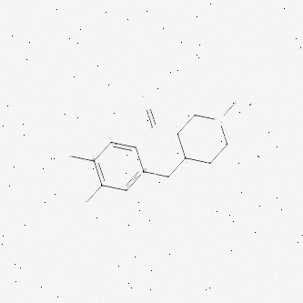 CN1CCC(Cc2ccc(Cl)c(Cl)c2)[C@H](C=O)C1